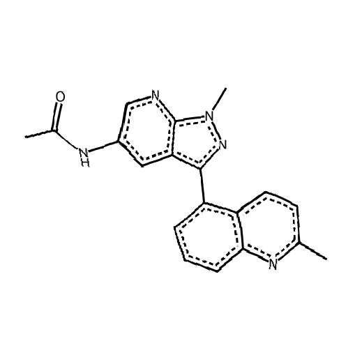 CC(=O)Nc1cnc2c(c1)c(-c1cccc3nc(C)ccc13)nn2C